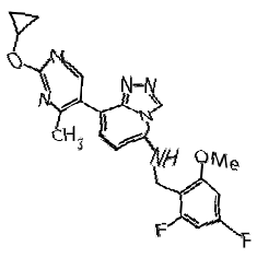 COc1cc(F)cc(F)c1CNc1ccc(-c2cnc(OC3CC3)nc2C)c2nncn12